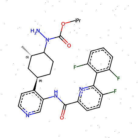 CC(C)OC(=O)N(N)C1CC[C@@H](c2ccncc2NC(=O)c2ccc(F)c(-c3c(F)cccc3F)n2)C[C@@H]1C